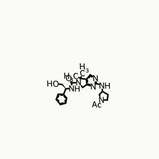 CC(=O)N1CCC(Nc2ncc3c(n2)CN(C(=O)N[C@H](CO)c2ccccc2)C3(C)C)C1